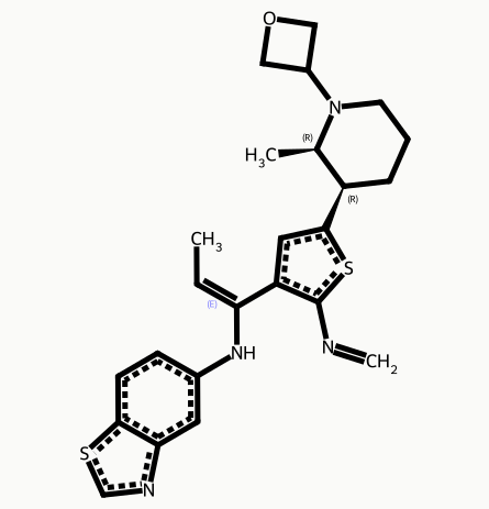 C=Nc1sc([C@@H]2CCCN(C3COC3)[C@@H]2C)cc1/C(=C\C)Nc1ccc2scnc2c1